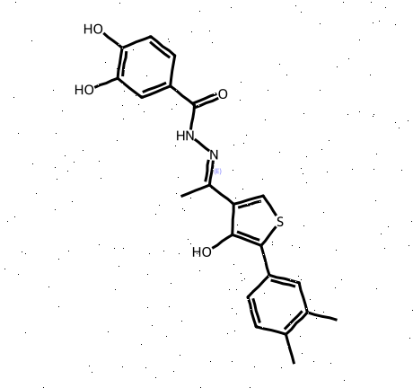 C/C(=N\NC(=O)c1ccc(O)c(O)c1)c1csc(-c2ccc(C)c(C)c2)c1O